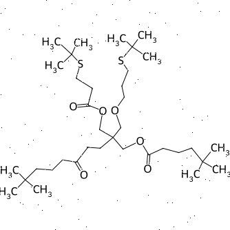 CC(C)(C)CCCC(=O)CCC(COCCCSC(C)(C)C)(COC(=O)CCCC(C)(C)C)COC(=O)CCSC(C)(C)C